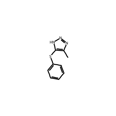 Cc1nn[nH]c1Sc1ccccc1